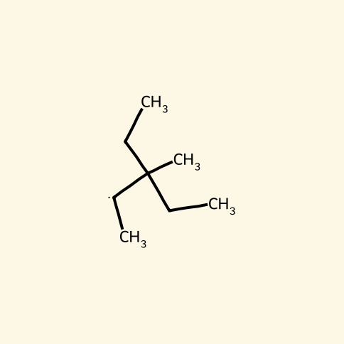 C[CH]C(C)(CC)CC